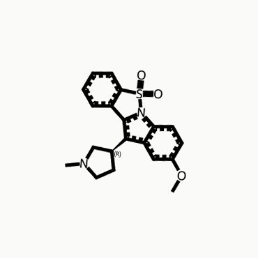 COc1ccc2c(c1)c([C@H]1CCN(C)C1)c1n2S(=O)(=O)c2ccccc2-1